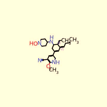 C/C=C1\C(=C/CCC)C=C(C2=CC(C#N)=C(OC)NC2)CC1NC1CCN(O)CC1